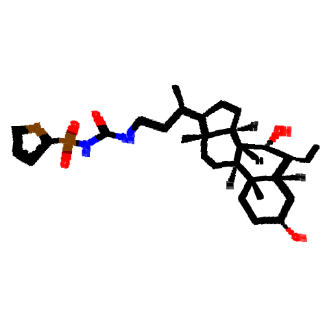 CC[C@H]1[C@@H](O)[C@@H]2[C@H](CC[C@]3(C)[C@@H]([C@H](C)CCNC(=O)NS(=O)(=O)c4cccs4)CC[C@@H]23)[C@@]2(C)CC[C@@H](O)C[C@@H]12